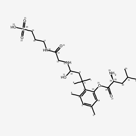 Cc1cc(C)c(C(C)(C)CC(O)NCC(=O)NCCCS(=O)(=O)O)c(OC(=O)[C@@H](N)CC(C)C)c1